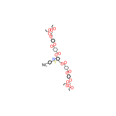 C=CC(=O)OCC(COc1ccc(OC(=O)C2CCC(C(=O)Oc3ccc(CCOC(=O)C4CCC(C(=O)Oc5ccc(O[C@@H](COC(=O)C=C)OC(=O)C=C)cc5)CC4)c4sc(-c5ccc(C#N)cc5)nc34)CC2)cc1)OC(=O)C=C